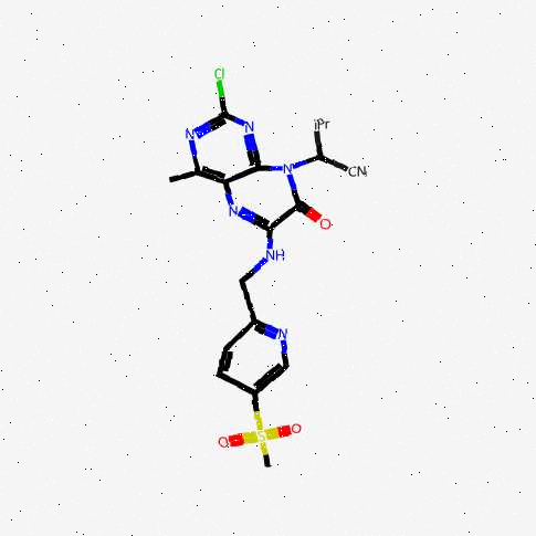 Cc1nc(Cl)nc2c1nc(NCc1ccc(S(C)(=O)=O)cn1)c(=O)n2C(C#N)C(C)C